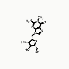 Cn1c(N)nc2c(ncn2C[C@@H]2O[C@H](CO)C(O)[C@@H]2O)c1=O